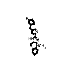 CN1C(=O)[C@@H](NC(=O)n2cc(Cc3cccc(F)c3)cn2)COc2ccccc21